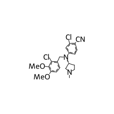 COc1ccc(CN(c2ccc(C#N)c(Cl)c2)[C@H]2CCN(C)C2)c(Cl)c1OC